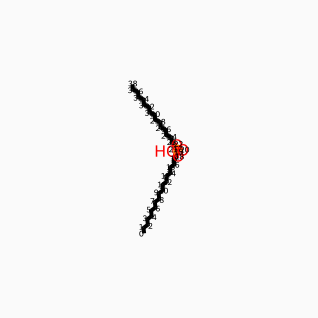 CCCCCCCCCCCCCCCCCCOP(=O)(O)OCCCCCCCCCCCCCCCC